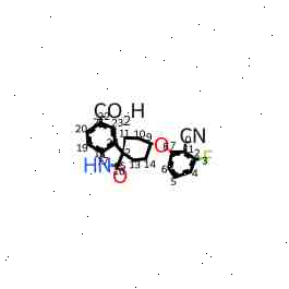 N#Cc1c(F)cccc1O[C@H]1CC[C@@]2(CC1)C(=O)Nc1ccc(C(=O)O)cc12